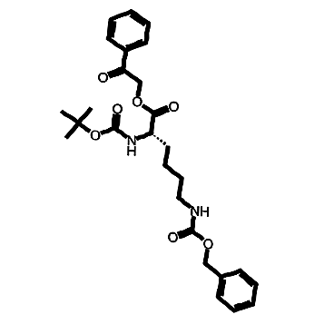 CC(C)(C)OC(=O)N[C@@H](CCCCNC(=O)OCc1ccccc1)C(=O)OCC(=O)c1ccccc1